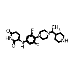 C[C@@H](C1CCNCC1)N1CCN(c2c(F)cc(NC3CCC(=O)NC3=O)cc2F)CC1